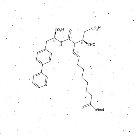 CCCCCCCC(=O)CCCCCC/C=C/C(C(=O)N[C@@H](Cc1ccc(-c2cccnc2)cc1)C(=O)O)[C@H](C=O)CC(=O)O